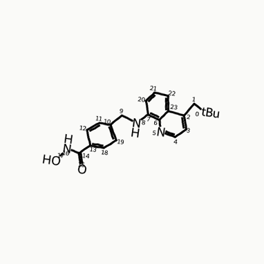 CC(C)(C)Cc1ccnc2c(NCc3ccc(C(=O)NO)cc3)cccc12